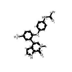 CC(C)C(=O)Nc1ccc(Oc2ccc(N)cc2-c2cn(C)c(=O)c3[nH]ccc23)cc1